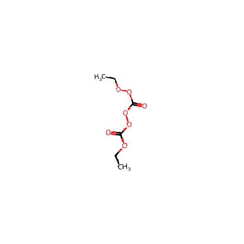 CCOOC(=O)OOC(=O)OCC